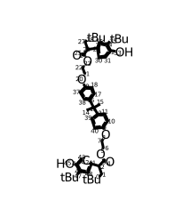 CC(C)(C)CC(C(=O)OCCOc1ccc(C(C)(C)c2ccc(OCCOC(=O)C(CC(C)(C)C)c3ccc(O)c(C(C)(C)C)c3)cc2)cc1)c1ccc(O)c(C(C)(C)C)c1